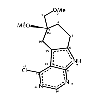 COC[C@]1(OC)CCc2[nH]c3ncnc(Cl)c3c2C1